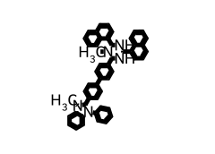 CN1c2ccccc2N(c2ccccc2)C1c1ccc(-c2ccc(C3NC(c4cccc5ccccc45)NC(c4cccc5ccccc45)N3C)cc2)cc1